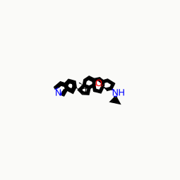 C[C@]12CC=C3C=C4CC[C@@H](NC5CC5)C[C@]45CCC3(O5)[C@@H]1CC[C@@H]2c1ccc2ccncc2c1